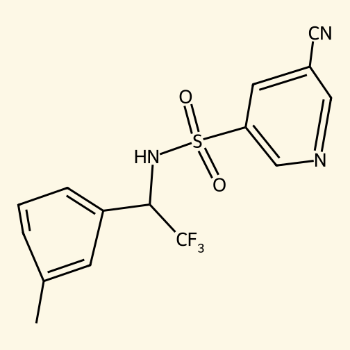 Cc1cccc(C(NS(=O)(=O)c2cncc(C#N)c2)C(F)(F)F)c1